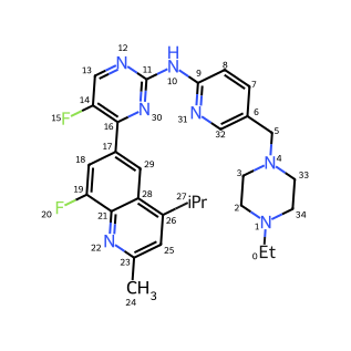 CCN1CCN(Cc2ccc(Nc3ncc(F)c(-c4cc(F)c5nc(C)cc(C(C)C)c5c4)n3)nc2)CC1